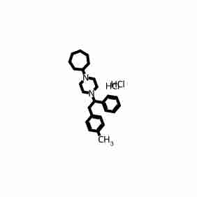 Cc1ccc(CC(c2ccccc2)N2CCN(C3CCCCCC3)CC2)cc1.Cl.Cl